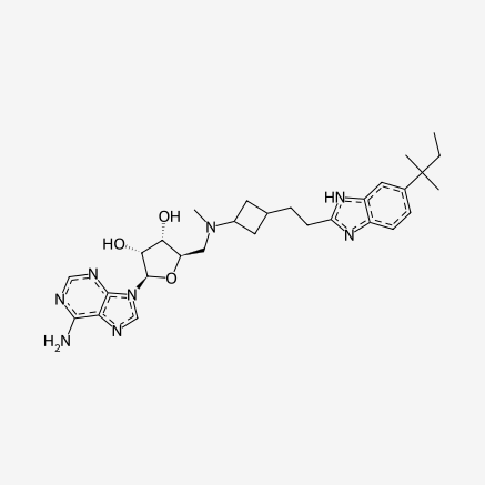 CCC(C)(C)c1ccc2nc(CCC3CC(N(C)C[C@H]4O[C@@H](n5cnc6c(N)ncnc65)[C@H](O)[C@@H]4O)C3)[nH]c2c1